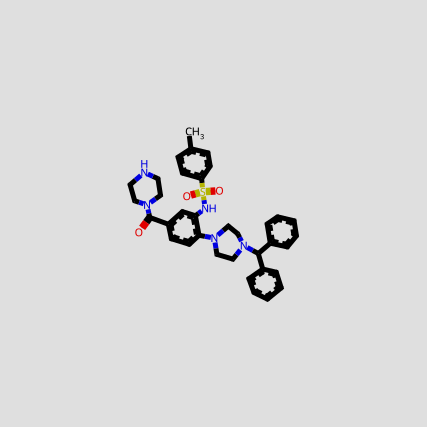 Cc1ccc(S(=O)(=O)Nc2cc(C(=O)N3CCNCC3)ccc2N2CCN(C(c3ccccc3)c3ccccc3)CC2)cc1